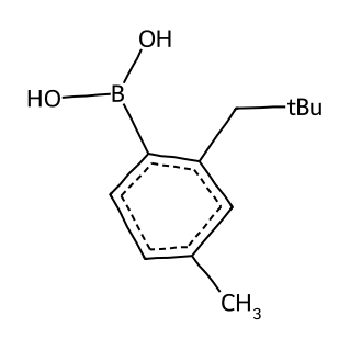 Cc1ccc(B(O)O)c(CC(C)(C)C)c1